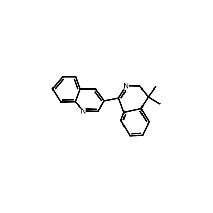 CC1(C)CN=C(c2cnc3ccccc3c2)c2ccccc21